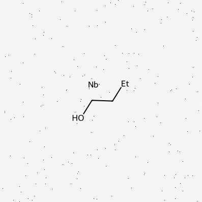 CCCCO.[Nb]